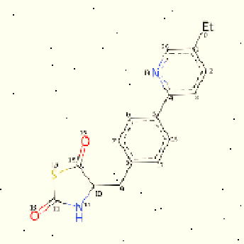 CCc1ccc(-c2ccc(CC3NC(=O)SC3=O)cc2)nc1